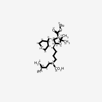 CC(C)[C@@H](C)CCN(CCCC[C@@H]1OC(C)(C)N(C(=O)OC(C)(C)C)[C@H]1CC1CCCCC1)C(=O)O